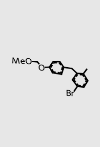 COCOc1ccc(Cc2cc(Br)ccc2C)cc1